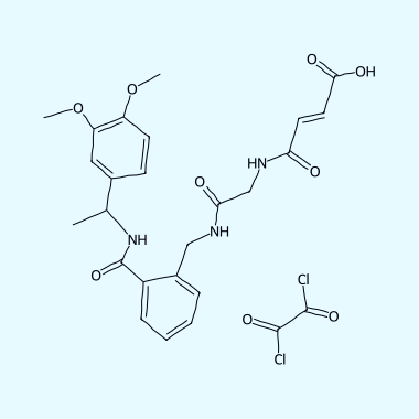 COc1ccc(C(C)NC(=O)c2ccccc2CNC(=O)CNC(=O)/C=C/C(=O)O)cc1OC.O=C(Cl)C(=O)Cl